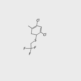 CC1=C(Cl)C=C(Cl)C(SCC(F)(F)F)C1